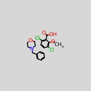 COc1c(Cl)ccc(Cl)c1C(=O)O.c1ccc(CN2CCOCC2)cc1